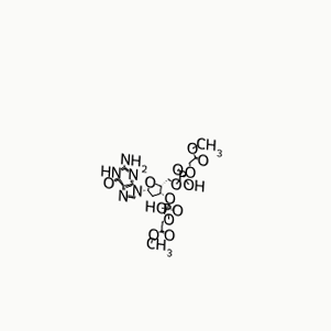 COC(=O)COP(=O)(O)OC[C@H]1O[C@@H](n2cnc3c(=O)[nH]c(N)nc32)C[C@H]1OP(=O)(O)OCC(=O)OC